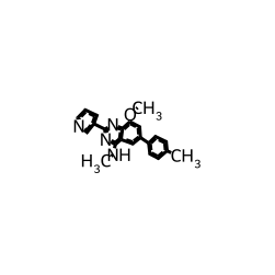 CNc1nc(-c2cccnc2)nc2c(OC)cc(-c3ccc(C)cc3)cc12